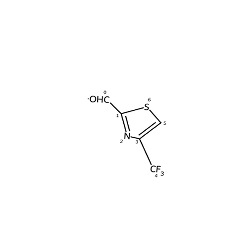 O=[C]c1nc(C(F)(F)F)cs1